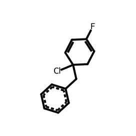 FC1=CCC(Cl)(Cc2ccccc2)C=C1